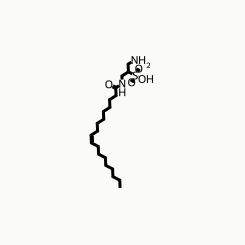 CCCCCCCC/C=C\CCCCCCCC(=O)NCC(CN)S(=O)(=O)O